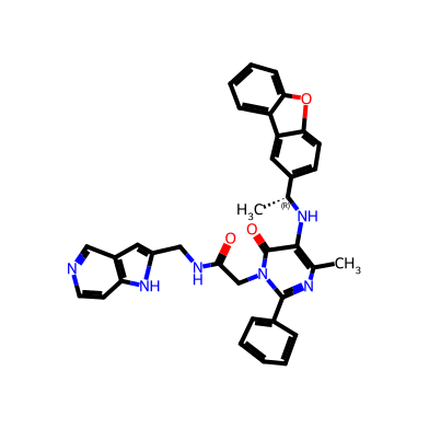 Cc1nc(-c2ccccc2)n(CC(=O)NCc2cc3cnccc3[nH]2)c(=O)c1N[C@H](C)c1ccc2oc3ccccc3c2c1